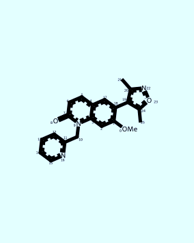 COc1cc2c(ccc(=O)n2Cc2ccccn2)cc1-c1c(C)noc1C